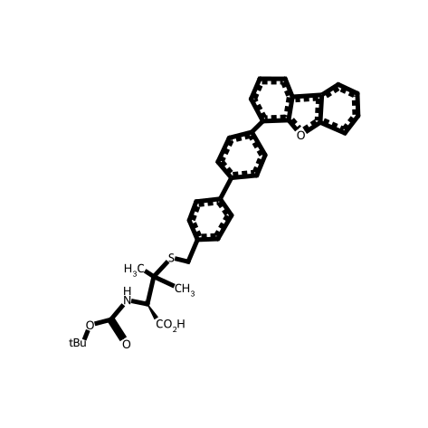 CC(C)(C)OC(=O)N[C@H](C(=O)O)C(C)(C)SCc1ccc(-c2ccc(-c3cccc4c3oc3ccccc34)cc2)cc1